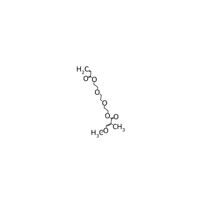 C=CC(=O)OCCOCCOCCOC(=O)C(C)=COC